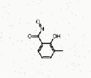 Cc1cccc(C(=O)N=O)c1O